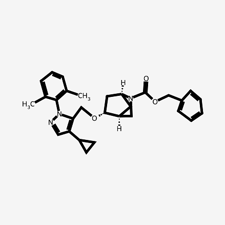 Cc1cccc(C)c1-n1ncc(C2CC2)c1CO[C@@H]1C[C@@H]2C[C@H]1CN2C(=O)OCc1ccccc1